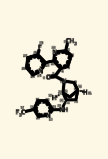 Cc1ccc(C(=O)N2C[C@H]3C[C@@H](Nc4ccc(C(F)(F)F)cn4)[C@@H]2C3)c(-c2ncccc2F)n1